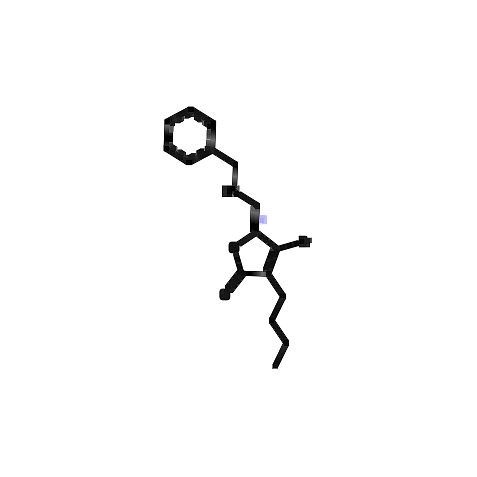 CCCCC1=C(Br)/C(=C/NCc2ccccc2)OC1=O